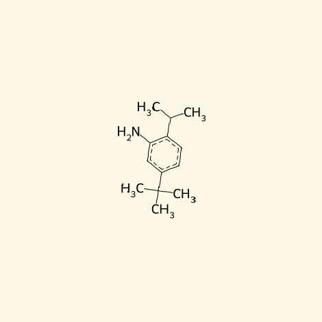 CC(C)c1ccc(C(C)(C)C)cc1N